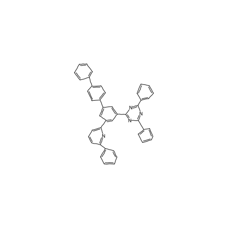 c1ccc(-c2ccc(-c3cc(-c4cccc(-c5ccccc5)n4)cc(-c4nc(-c5ccccc5)nc(-c5ccccc5)n4)c3)cc2)cc1